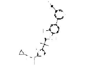 CC(C)(C(=O)Nc1ccc(-c2cncc(C#N)c2)cc1F)c1csc(NS(=O)(=O)C2CC2)n1